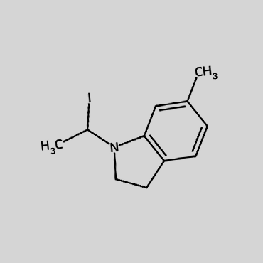 Cc1ccc2c(c1)N(C(C)I)CC2